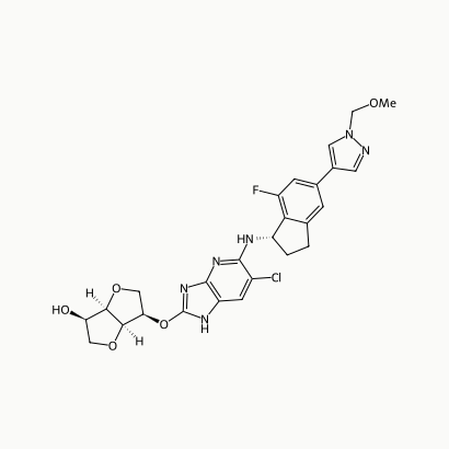 COCn1cc(-c2cc(F)c3c(c2)CC[C@@H]3Nc2nc3nc(O[C@@H]4CO[C@H]5[C@@H]4OC[C@H]5O)[nH]c3cc2Cl)cn1